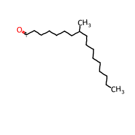 CCCCCCCCCC(C)CCCCCC[C]=O